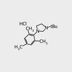 Cc1cc(C)c(N2CCN(C(C)(C)C)C2)c(C)c1.Cl